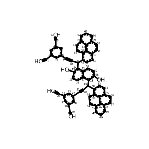 C#Cc1cc(C#C)cc(C#CC(c2c(O)ccc3c(C(C#Cc4cc(C#C)cc(C#C)c4)c4ccc5ccc6cccc7ccc4c5c67)c(O)ccc23)c2ccc3ccc4cccc5ccc2c3c45)c1